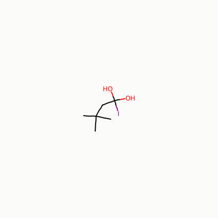 CC(C)(C)CC(O)(O)I